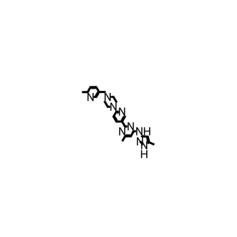 Cc1ccc(CN2CCN(c3ccc(-c4nc(C)cc(Nc5cc(C)[nH]n5)n4)cn3)CC2)cn1